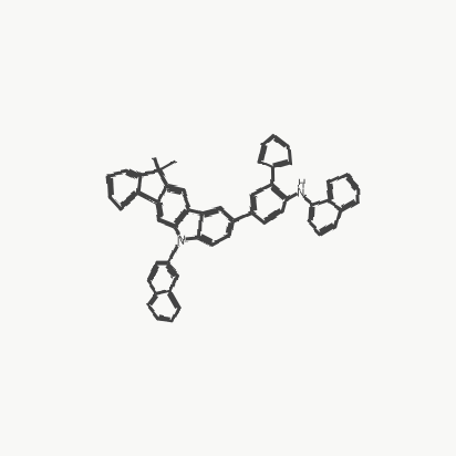 CC1(C)c2ccccc2-c2cc3c(cc21)c1cc(-c2ccc(Nc4cccc5ccccc45)c(-c4ccccc4)c2)ccc1n3-c1ccc2ccccc2c1